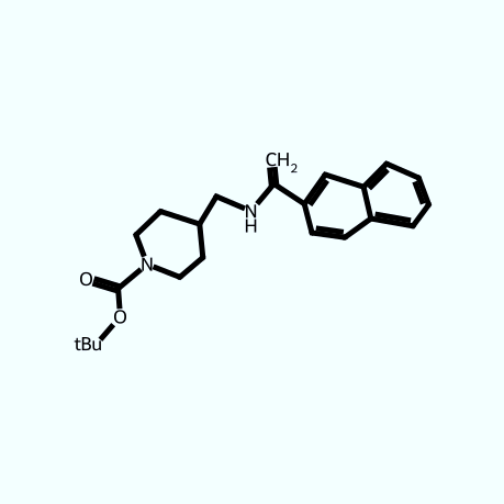 C=C(NCC1CCN(C(=O)OC(C)(C)C)CC1)c1ccc2ccccc2c1